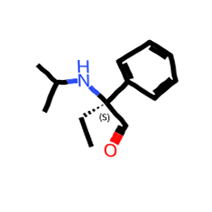 CC[C@](C=O)(NC(C)C)c1ccccc1